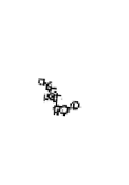 Cc1sc(Cl)cc1S(=O)(=O)NC(=O)c1cnn2ccc(N3CCCC3)cc12